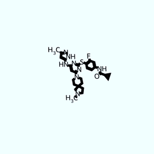 Cc1cc(Nc2cc(N3CCC4(CCN(C)C4)CC3)nc(Sc3ccc(NC(=O)C4CC4)cc3F)n2)[nH]n1